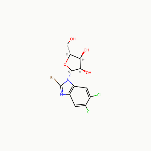 OC[C@H]1O[C@@H](n2c(Br)nc3cc(Cl)c(Cl)cc32)[C@H](O)[C@@H]1O